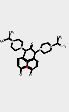 CC(C)N1CCN(C(C(=O)C(c2ccc(Cl)nc2)N2CCN(C(C)C)CC2)c2ccc(Cl)nc2)CC1